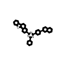 c1ccc(-c2nc(-c3ccc(-c4ccc5ccccc5c4)cc3)nc(-c3ccc4c(ccc5c6ccccc6oc45)c3)n2)cc1